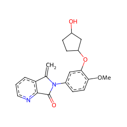 C=C1c2cccnc2C(=O)N1c1ccc(OC)c(OC2CCC(O)C2)c1